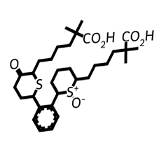 CC(C)(CCCCC1SC(c2ccccc2C2CCCC(CCCCC(C)(C)C(=O)O)[S+]2[O-])CCC1=O)C(=O)O